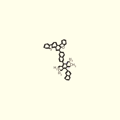 C=Cc1c(C=C)c(-c2ccc3cc(-c4cc5c(ccc6c7ccccc7sc65)c5c4oc4ccccc45)ccc3c2)c(=C/C)/c(=C\C)c1-c1ccc2ccccc2c1